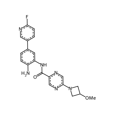 COC1CN(c2cnc(C(=O)Nc3cc(-c4ccc(F)nc4)ccc3N)cn2)C1